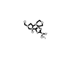 C[S+]([O-])c1nnc([N+]2([O-])CN(CCl)CC2N2CCOCC2)s1